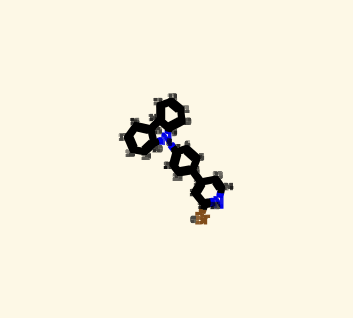 Brc1cc(-c2ccc(-n3c4ccccc4c4ccccc43)cc2)ccn1